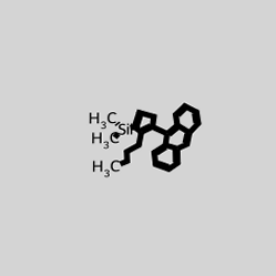 CCCCC1=C(c2c3ccccc3cc3ccccc23)CC=C1[SiH](C)C